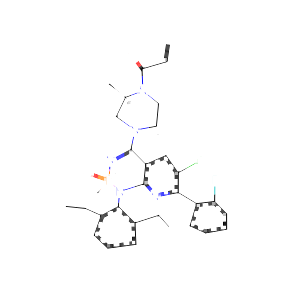 C=CC(=O)N1C[C@H](C)N(C2=N[P@@](C)(=O)N(c3c(CC)cccc3CC)c3nc(-c4ccccc4F)c(Cl)cc32)C[C@H]1C